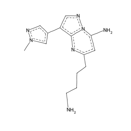 Cn1cc(-c2cnn3c(N)cc(CCCCN)nc23)cn1